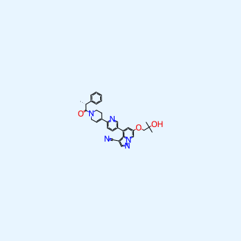 C[C@@H](C(=O)N1CC=C(c2ccc(-c3cc(OCC(C)(C)O)cn4ncc(C#N)c34)cn2)CC1)c1ccccc1